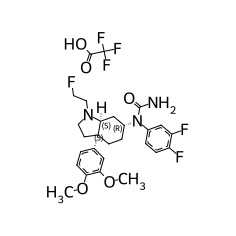 COc1ccc([C@@]23CC[C@@H](N(C(N)=O)c4ccc(F)c(F)c4)C[C@@H]2N(CCF)CC3)cc1OC.O=C(O)C(F)(F)F